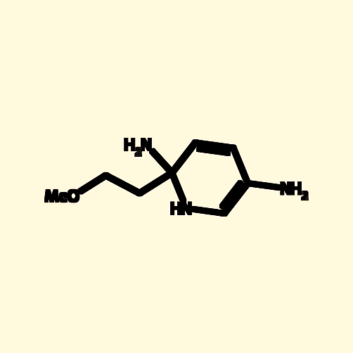 COCCC1(N)C=CC(N)=CN1